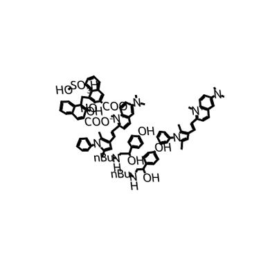 CCCCNCC(O)c1ccc(O)cc1.CCCCNCC(O)c1ccc(O)cc1.Cc1cc(/C=C/c2ccc3cc(N(C)C)ccc3[n+]2C)c(C)n1-c1ccccc1.Cc1cc(/C=C/c2ccc3cc(N(C)C)ccc3[n+]2C)c(C)n1-c1ccccc1.O=C([O-])c1cc2ccccc2c(Cc2c(O)c(C(=O)[O-])cc3ccccc23)c1O.O=S(=O)(O)O